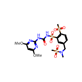 COc1cc(OC)nc(NC(=O)NS(=O)(=O)c2cc(CN(C)S(C)(=O)=O)ccc2S(C)(=O)=O)n1